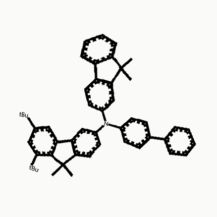 CC(C)(C)c1cc2c(c(C(C)(C)C)c1)C(C)(C)c1ccc(N(c3ccc(-c4ccccc4)cc3)c3ccc4c(c3)C(C)(C)c3ccccc3-4)cc1-2